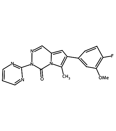 COc1cc(-c2cc3cnn(-c4ncccn4)c(=O)n3c2C)ccc1F